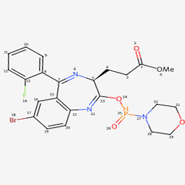 COC(=O)CC[C@@H]1N=C(c2ccccc2F)c2cc(Br)ccc2N=C1O[PH](=O)N1CCOCC1